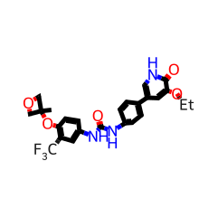 CCOc1cc(-c2ccc(NC(=O)Nc3ccc(OC4(C)COC4)c(C(F)(F)F)c3)cc2)c[nH]c1=O